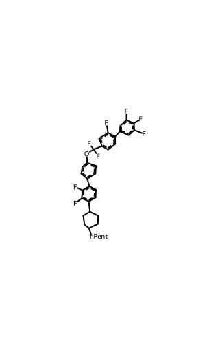 CCCCCC1CCC(c2ccc(-c3ccc(OC(F)(F)c4ccc(-c5cc(F)c(F)c(F)c5)c(F)c4)cc3)c(F)c2F)CC1